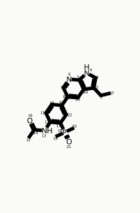 CCc1c[nH]c2ncc(-c3ccc(NC(C)=O)c(P(C)(C)=O)c3)cc12